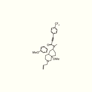 C=CCN1CC[C@@]2(c3cccc(OC)c3)C[C@@H](N(C)C(=O)C#Cc3ccc(C(F)(F)F)cc3)CC[C@]2(OC)C1